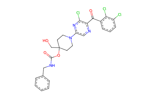 O=C(NCc1ccccc1)OC1(CO)CCN(c2cnc(C(=O)c3cccc(Cl)c3Cl)c(Cl)n2)CC1